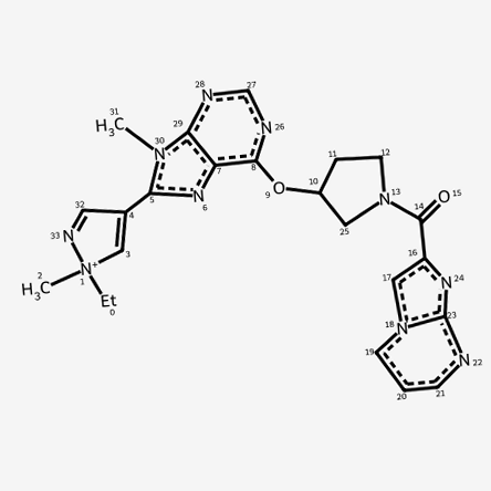 CC[N+]1(C)C=C(c2nc3c(OC4CCN(C(=O)c5cn6cccnc6n5)C4)ncnc3n2C)C=N1